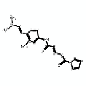 CN(C)/C=N/c1ccc(NC(=O)/C=C/OC(=O)n2cccc2)cc1C#N